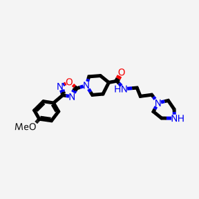 COc1ccc(-c2noc(N3CCC(C(=O)NCCCN4CCNCC4)CC3)n2)cc1